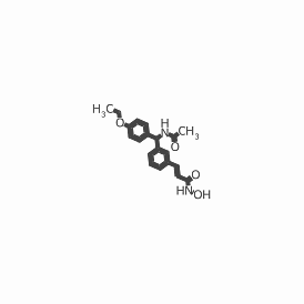 CCOc1ccc(C(NC(C)=O)c2cccc(/C=C/C(=O)NO)c2)cc1